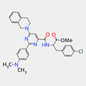 COC(=O)C(Cc1ccc(Cl)cc1)NC(=O)c1cc(N2CCc3ccccc3C2)nc(-c2ccc(N(C)C)cc2)n1